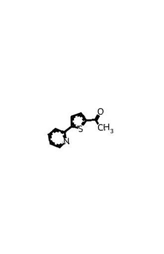 CC(=O)c1ccc(-c2ccccn2)s1